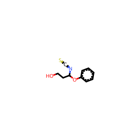 OCC[C](N=C=S)Oc1ccccc1